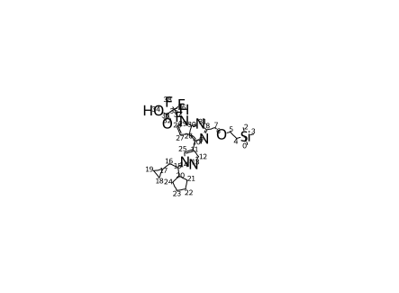 C[Si](C)(C)CCOCc1nc(-c2cnn(C(CC3CC3)C3CCCC3)c2)c2cc[nH]c2n1.O=C(O)C(F)(F)F